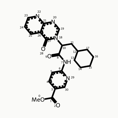 COC(=O)c1ccc(NC(=O)C(CC2CCCCC2)n2cnc3ncccc3c2=O)nc1